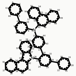 c1ccc(-c2cccc(N(c3ccc(-c4cc(-c5ccccc5)ccc4-n4c5ccccc5c5c6ccccc6ccc54)cc3)c3cc4ccccc4c4ccccc34)c2)cc1